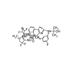 C[C@H]1CC(F)(F)C(NCC(=O)NC(Cc2cc(F)cc(F)c2)c2nc(C#CC(C)(C)O)ccc2-c2cccc3c(NCC(F)F)nn(C)c23)=C1C(=N)C(F)F